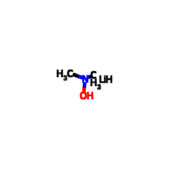 CN(C)O.[LiH]